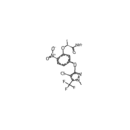 CC(Oc1cc(Oc2nn(C)c(C(F)(F)F)c2Cl)ccc1[N+](=O)[O-])C([NH])=O